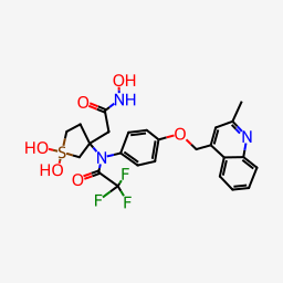 Cc1cc(COc2ccc(N(C(=O)C(F)(F)F)C3(CC(=O)NO)CCS(O)(O)C3)cc2)c2ccccc2n1